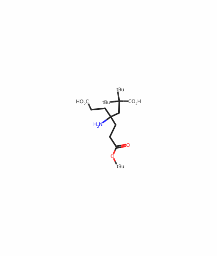 CC(C)(C)OC(=O)CCC(N)(CCC(=O)O)CC(C(=O)O)(C(C)(C)C)C(C)(C)C